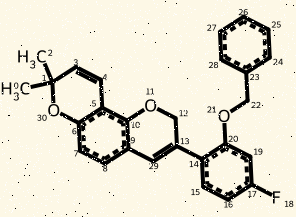 CC1(C)C=Cc2c(ccc3c2OCC(c2ccc(F)cc2OCc2ccccc2)=C3)O1